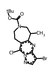 CC1CN(C(=O)OC(C)(C)C)CCc2c1nc1c(Br)cnn1c2Cl